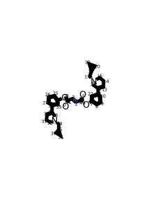 O=C(/C=C/C(=O)Oc1cccc(C2=CCCN(CC3CC3)C2)c1)Oc1cccc(C2=CCCN(CC3CC3)C2)c1